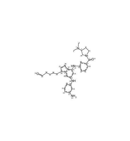 CN(C)C1CCN(C(=O)c2cccc(Nc3cc(Nc4cccc(N)c4)nc4c(CCCCC=O)cnn34)c2)C1